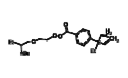 C=C[Si](C=C)(CC)c1ccc(C(=O)OO[CH]COCC(CC)CCCC)cc1